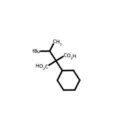 CC(C(C)(C)C)C(C(=O)O)(C(=O)O)C1CCCCC1